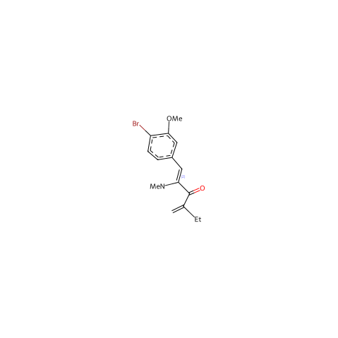 C=C(CC)C(=O)/C(=C/c1ccc(Br)c(OC)c1)NC